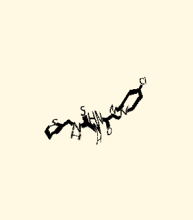 O=C(NNC(=S)NCc1cccs1)c1cn2ccc(Cl)cc2n1